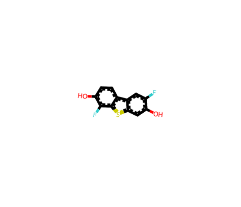 Oc1cc2sc3c(F)c(O)ccc3c2cc1F